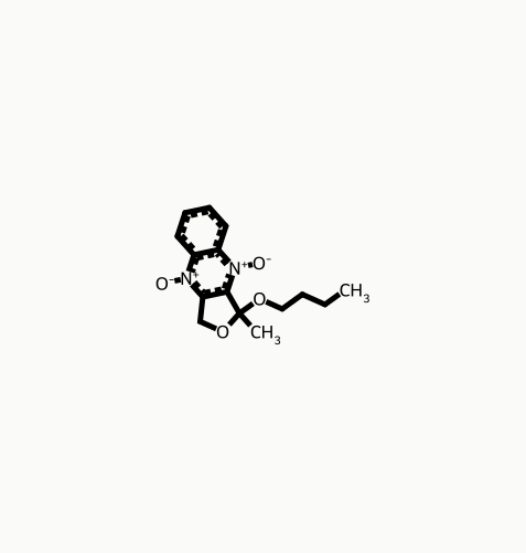 CCCCOC1(C)OCc2c1[n+]([O-])c1ccccc1[n+]2[O-]